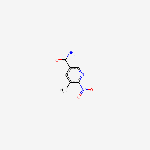 Cc1cc(C(N)=O)cnc1[N+](=O)[O-]